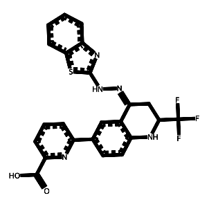 O=C(O)c1cccc(-c2ccc3c(c2)/C(=N\Nc2nc4ccccc4s2)CC(C(F)(F)F)N3)n1